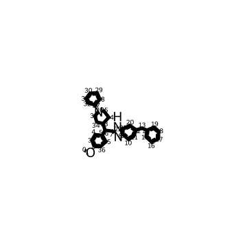 COc1ccc(C(c2nc3ccc(Cc4ccccc4)cc3[nH]2)C2CCN(c3ccccc3)CC2)cc1